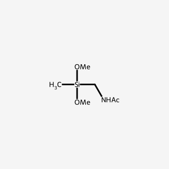 CO[Si](C)(CNC(C)=O)OC